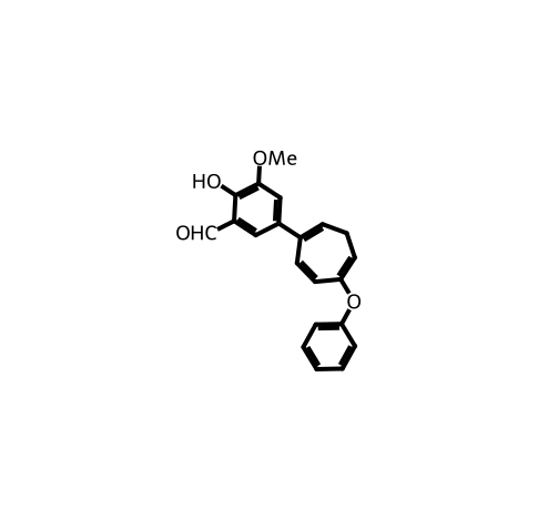 COc1cc(C2=CCC=C(Oc3ccccc3)C=C2)cc(C=O)c1O